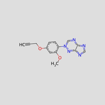 C#CCOc1ccc(-n2cnc3ncnc-3n2)c(OC)c1